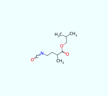 CC(C)COC(=O)C(C)CCN=C=O